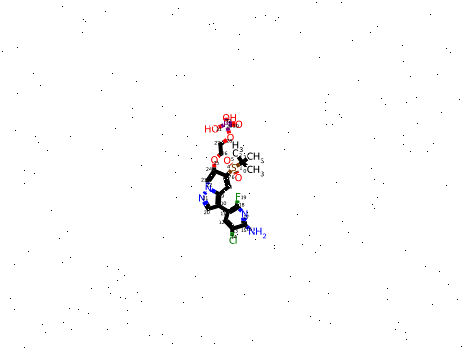 CC(C)(C)S(=O)(=O)c1cc2c(-c3cc(Cl)c(N)nc3F)cnn2cc1OCCOP(=O)(O)O